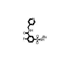 CC[C@@H](C)NS(=O)(=O)c1ccc(F)c(C(=O)NCc2ccncc2)c1